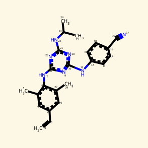 C=Cc1cc(C)c(Nc2nc(Nc3ccc(C#N)cc3)nc(NC(C)C)n2)c(C)c1